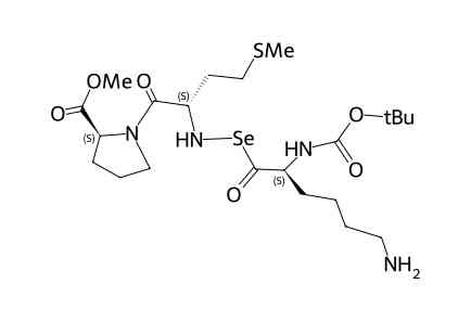 COC(=O)[C@@H]1CCCN1C(=O)[C@H](CCSC)N[Se]C(=O)[C@H](CCCCN)NC(=O)OC(C)(C)C